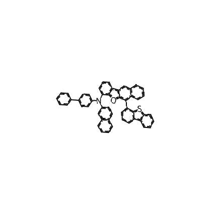 c1ccc(-c2ccc(N(c3ccc4ccccc4c3)c3cccc4c3oc3c(-c5cccc6c5sc5ccccc56)c5ccccc5cc34)cc2)cc1